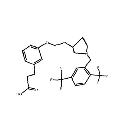 O=C(O)CCc1cccc(OCCC2CCN(Cc3cc(C(F)(F)F)ccc3C(F)(F)F)C2)c1